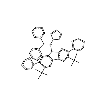 CC(C)(C)c1cc2c(cc1-c1ccccc1)[CH]([Zr](=[C](c1ccccc1)c1ccccc1)[CH]1C=CC=C1)c1cc(-c3ccccc3)c(C(C)(C)C)cc1-2